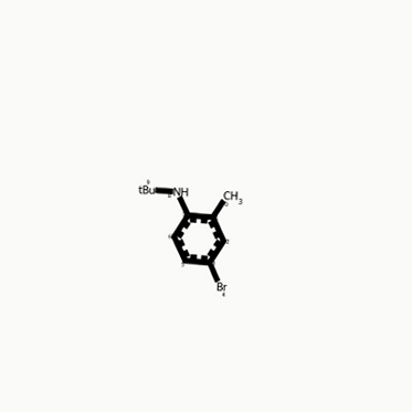 Cc1cc(Br)ccc1NC(C)(C)C